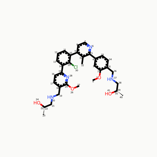 COc1cc(-c2nccc(-c3cccc(-c4ccc(CNC[C@H](C)O)c(OC)n4)c3Cl)c2C)ccc1CNC[C@H](C)O